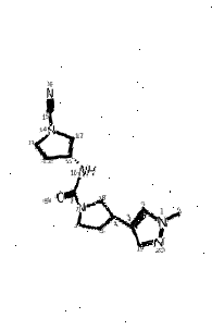 Cn1cc(C2CCN(C(=O)N[C@@H]3CCN(C#N)C3)C2)cn1